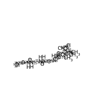 Cc1cc(S(=O)(=O)N[C@H]2CCN(CCOCCNC(=O)NCCCCNC(=O)NCCOCCN3CCCC3)C2)ccc1O[C@H]1c2cc(Cl)cc(Cl)c2C[C@@H]1N(C)C